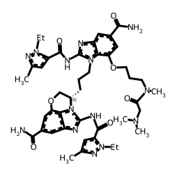 CCn1nc(C)cc1C(=O)Nc1nc2cc(C(N)=O)cc(OCCCN(C)C(=O)CN(C)C)c2n1CCC[C@H]1COc2cc(C(N)=O)cc3nc(NC(=O)c4cc(C)nn4CC)n1c23